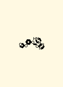 c1cc(OCCOc2nccnc2N2CCNCC2)cc(OC2CCOC2)c1